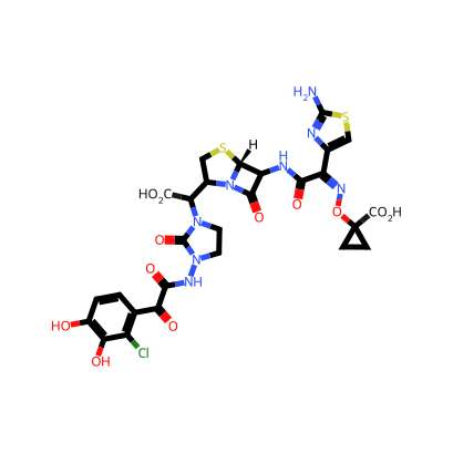 Nc1nc(/C(=N/OC2(C(=O)O)CC2)C(=O)NC2C(=O)N3C(C(C(=O)O)N4CCN(NC(=O)C(=O)c5ccc(O)c(O)c5Cl)C4=O)CS[C@H]23)cs1